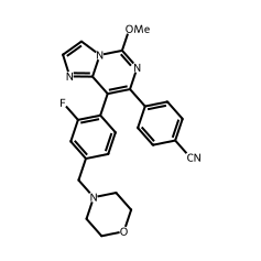 COc1nc(-c2ccc(C#N)cc2)c(-c2ccc(CN3CCOCC3)cc2F)c2nccn12